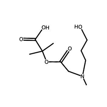 CN(CCCO)CC(=O)OC(C)(C)C(=O)O